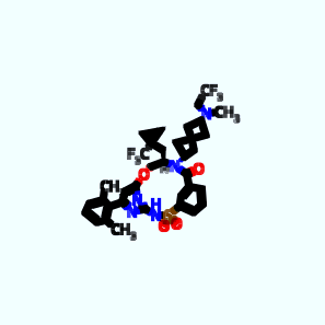 Cc1cccc(C)c1-c1cc2nc(n1)NS(=O)(=O)c1cccc(c1)C(=O)N([C@H]1CC3(C[C@H](N(C)CC(F)(F)F)C3)C1)[C@H](CC1(C(F)(F)F)CC1)CO2